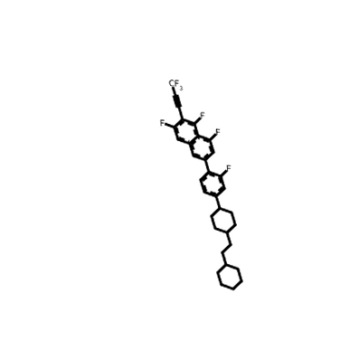 Fc1cc(C2CCC(CCC3CCCCC3)CC2)ccc1-c1cc(F)c2c(F)c(C#CC(F)(F)F)c(F)cc2c1